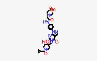 O=C(CN1CCS(=O)(=O)CC1)Nc1ccc(-n2ncc3c(=O)n(CC4(O)CCN(C(=O)C5CC5)CC4)cnc32)cc1